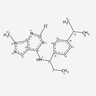 CCC(Nc1nc(Cl)nc2c1cnn2C)c1ccc(C(C)C)cc1